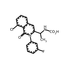 CC(NC(=O)O)c1cc2cccc(Cl)c2c(=O)n1-c1cccc(F)c1